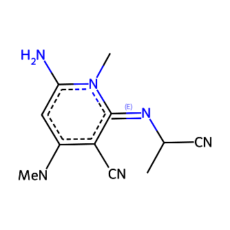 CNc1cc(N)n(C)/c(=N/C(C)C#N)c1C#N